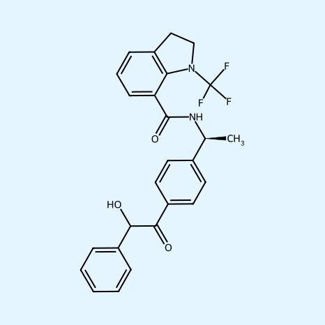 C[C@H](NC(=O)c1cccc2c1N(C(F)(F)F)CC2)c1ccc(C(=O)C(O)c2ccccc2)cc1